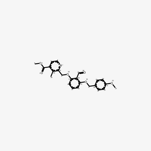 COC(=O)c1ccnc(COc2cccc(OCc3ccc(OC)cc3)c2C=O)c1C